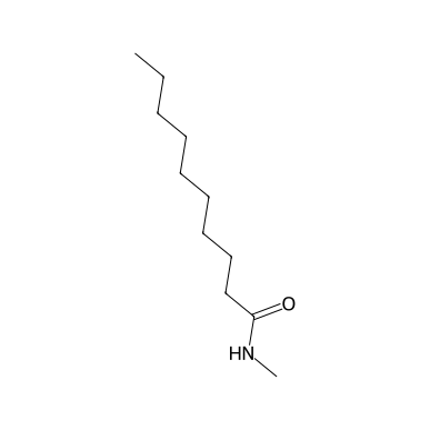 CCCCCCCCCC(=O)NC